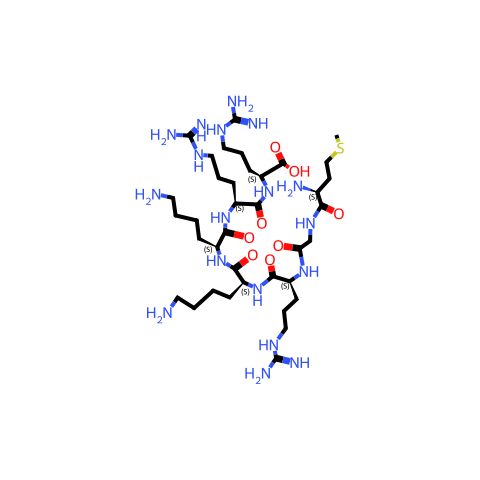 CSCC[C@H](N)C(=O)NCC(=O)N[C@@H](CCCNC(=N)N)C(=O)N[C@@H](CCCCN)C(=O)N[C@@H](CCCCN)C(=O)N[C@@H](CCCNC(=N)N)C(=O)N[C@@H](CCCNC(=N)N)C(=O)O